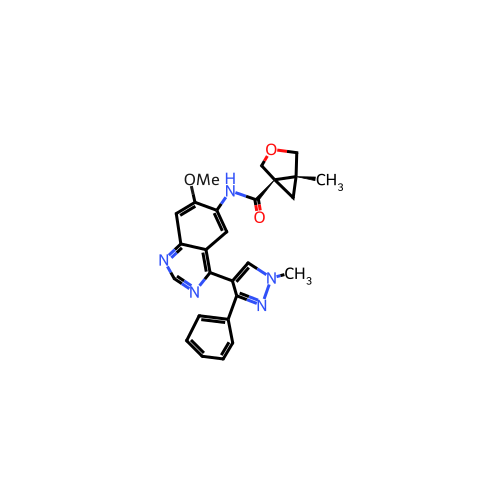 COc1cc2ncnc(-c3cn(C)nc3-c3ccccc3)c2cc1NC(=O)[C@@]12COC[C@]1(C)C2